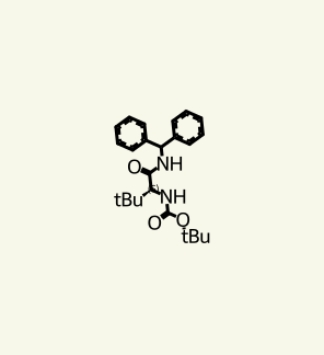 CC(C)(C)OC(=O)N[C@H](C(=O)NC(c1ccccc1)c1ccccc1)C(C)(C)C